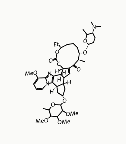 CC[C@H]1CCC[C@H](O[C@H]2CC[C@H](N(C)C)C(C)O2)[C@@H](C)C(=O)C2=C[C@H]3[C@@H]4C[C@H](OC5OC(C)C(OC)C(OC)C5OC)C[C@H]4c4c(nc5c(OC)cccn45)[C@H]3[C@@H]2CC(=O)O1